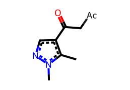 CC(=O)CC(=O)c1cnn(C)c1C